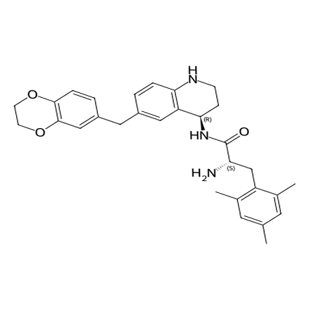 Cc1cc(C)c(C[C@H](N)C(=O)N[C@@H]2CCNc3ccc(Cc4ccc5c(c4)OCCO5)cc32)c(C)c1